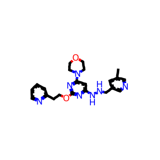 Cc1cncc(CNNc2cc(N3CCOCC3)nc(OCCc3ccccn3)n2)c1